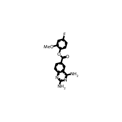 COc1cc(F)ccc1OC(=O)c1ccc2nc(N)nc(N)c2c1